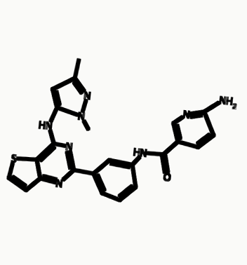 Cc1cc(Nc2nc(-c3cccc(NC(=O)c4ccc(N)nc4)c3)nc3ccsc23)n(C)n1